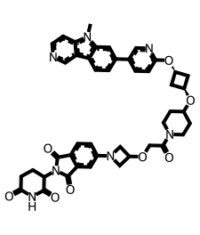 Cn1c2ccncc2c2ccc(-c3ccc(O[C@H]4C[C@H](OC5CCN(C(=O)COC6CN(c7ccc8c(c7)C(=O)N(C7CCC(=O)NC7=O)C8=O)C6)CC5)C4)nc3)cc21